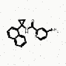 Nc1ccnc(C(=O)NC2(c3cccc4ccccc34)CC2)c1